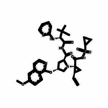 C=C[C@@H]1C[C@@]1(C(=O)NS(=O)(=O)C1CC1)N1C[C@H](Oc2nccc3cc(OC)ccc23)C[C@H]1C(=O)NC(=O)[C@H](Nc1ccccn1)C(C)(C)C